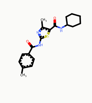 Cc1ccc(C(=O)Nc2nc(C)c(C(=O)NC3CCCCC3)s2)cc1